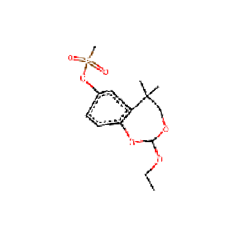 CCOC1OCC(C)(C)c2cc(OS(C)(=O)=O)ccc2O1